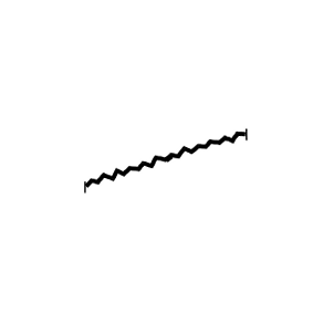 ICCCCCCCCCCC=CCCCCCCCCCCCI